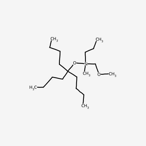 CCCCC(CCCC)(CCCC)O[Si](C)(CCC)COC